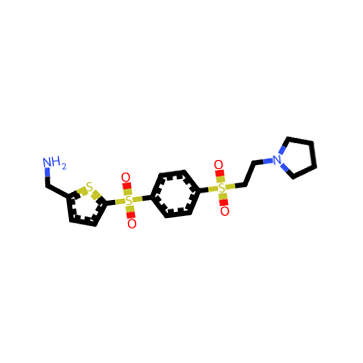 NCc1ccc(S(=O)(=O)c2ccc(S(=O)(=O)CCN3CCCC3)cc2)s1